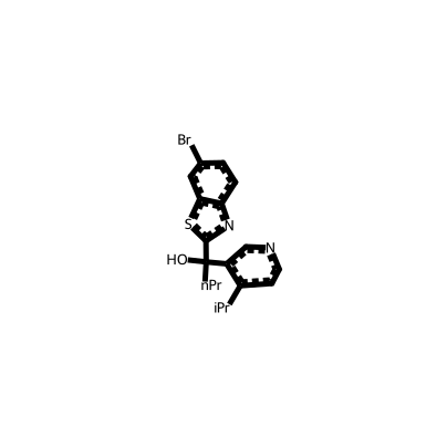 CCCC(O)(c1nc2ccc(Br)cc2s1)c1cnccc1C(C)C